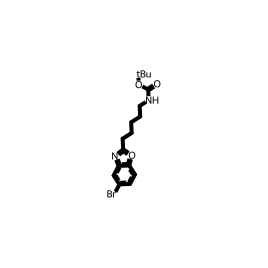 CC(C)(C)OC(=O)NCCCCCc1nc2cc(Br)ccc2o1